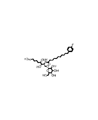 CCCCCCCCCCCCCC[C@@H](O)[C@@H](O)[C@H](CO[C@H]1OC(CO)[C@H](O)[C@H](O)C1O)NC(=O)CCCCCCCCCCc1ccc(F)cc1